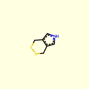 c1[nH]cc2c1CSSC2